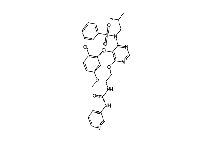 COc1ccc(Cl)c(Oc2c(OCCNC(=O)Nc3cccnc3)ncnc2N(CC(C)C)S(=O)(=O)c2ccccc2)c1